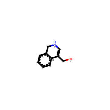 OCC1=CNCc2ccccc21